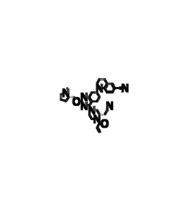 C=CC(=O)N1CCN(c2nc(OC[C@@H]3CCCN3C)nc3c2CCC(N2CCCc4cc(C#N)ccc42)C3)C[C@@H]1CC#N